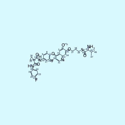 COc1cc2c(Oc3ccc(NC(=O)C4(C(=O)Nc5ccc(F)cc5)CC4)cc3F)ccnc2cc1OCCCSC(=O)C(N)C(C)C